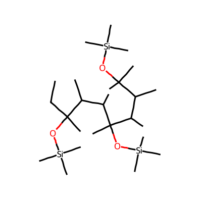 CCC(C)(O[Si](C)(C)C)C(C)C(C)C(C)(O[Si](C)(C)C)C(C)C(C)C(C)(C)O[Si](C)(C)C